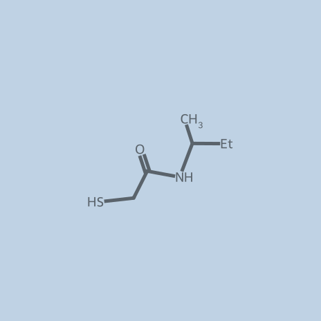 CCC(C)NC(=O)CS